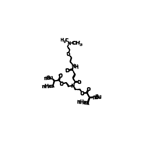 CCCCCCC(CCCC)C(=O)OCCN(CCOC(=O)C(CCCC)CCCCCC)C(=O)C=CC(=O)NCCOCCN(C)C